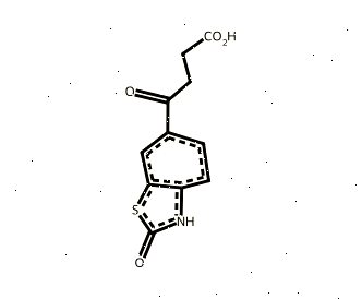 O=C(O)CCC(=O)c1ccc2[nH]c(=O)sc2c1